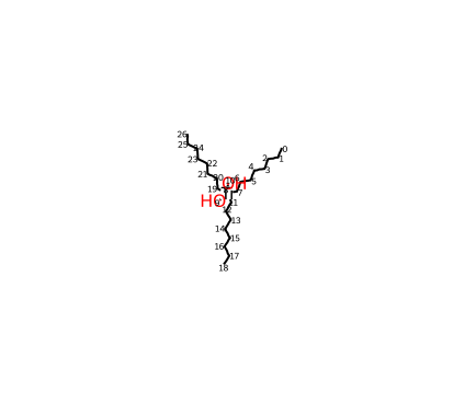 CCCCCCC[CH2][Ti]([OH])([OH])([CH2]CCCCCCC)[CH2]CCCCCCC